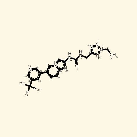 CCn1nnc(CNC(=O)Nc2cn3cc(-c4cncc(C(F)(F)F)c4)ccc3n2)n1